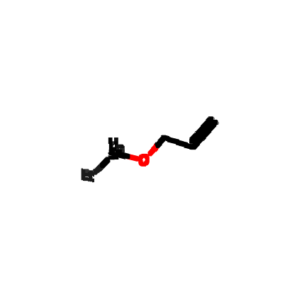 C=CCO[SiH2]CC